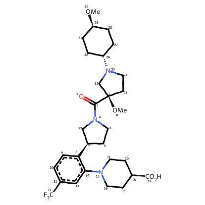 CO[C@]1(C(=O)N2CC[C@@H](c3ccc(C(F)(F)F)cc3N3CCC(C(=O)O)CC3)C2)CCN([C@H]2CC[C@H](OC)CC2)C1